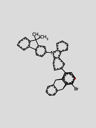 CC1(C)c2ccccc2-c2ccc(-n3c4ccccc4c4cc(-c5ccc(Br)c6c5C5c7ccccc7C6c6ccccc65)ccc43)cc21